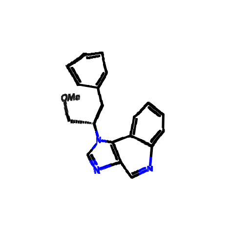 COC[C@H](Cc1ccccc1)n1cnc2cnc3ccccc3c21